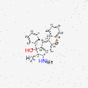 CCNCC(C)C(O)(c1ccccc1)c1ccc2sc3ccccc3c2c1